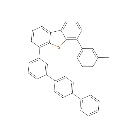 Cc1cccc(-c2cccc3c2sc2c(-c4cccc(-c5ccc(-c6ccccc6)cc5)c4)cccc23)c1